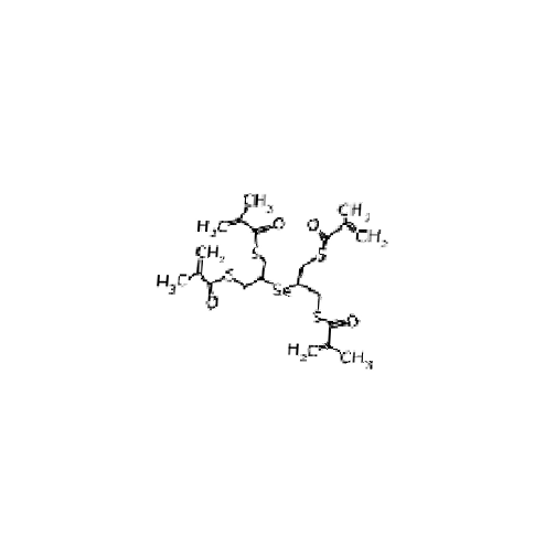 C=C(C)C(=O)SCC(CSC(=O)C(=C)C)[Se]C(CSC(=O)C(=C)C)CSC(=O)C(=C)C